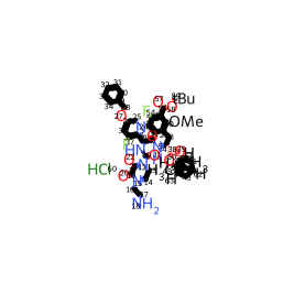 COc1c(CC(NC(=O)C(NC(=O)N2CCN(CCN)C(=O)C2=O)c2ncc(OCc3ccccc3)cc2F)B2O[C@@H]3C[C@@H]4C[C@@H](C4(C)C)[C@]3(C)O2)ccc(F)c1C(=O)OC(C)(C)C.Cl